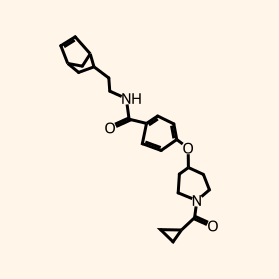 O=C(NCCC1CC2C=CC1C2)c1ccc(OC2CCN(C(=O)C3CC3)CC2)cc1